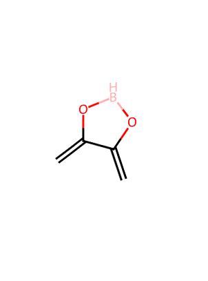 C=C1OBOC1=C